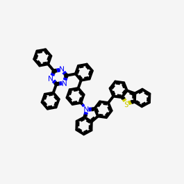 c1ccc(-c2nc(-c3ccccc3)nc(-c3ccccc3-c3cccc(-n4c5ccccc5c5ccc(-c6cccc7c6sc6ccccc67)cc54)c3)n2)cc1